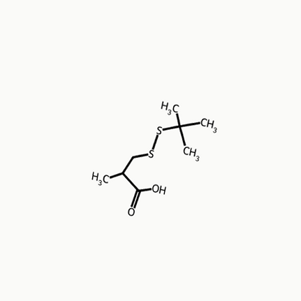 CC(CSSC(C)(C)C)C(=O)O